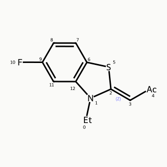 CCN1/C(=C/C(C)=O)Sc2ccc(F)cc21